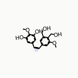 COc1cc(/C=C\c2cc(O)c(OC)c(O)c2)cc(CO)c1CO